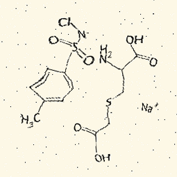 Cc1ccc(S(=O)(=O)[N-]Cl)cc1.NC(CSCC(=O)O)C(=O)O.[Na+]